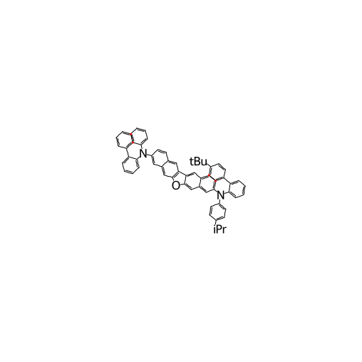 CC(C)c1ccc(N(c2ccc3cc4c(cc3c2)oc2cc3cc(N(c5ccccc5)c5ccccc5-c5ccccc5)ccc3cc24)c2ccccc2-c2ccc(C(C)(C)C)cc2)cc1